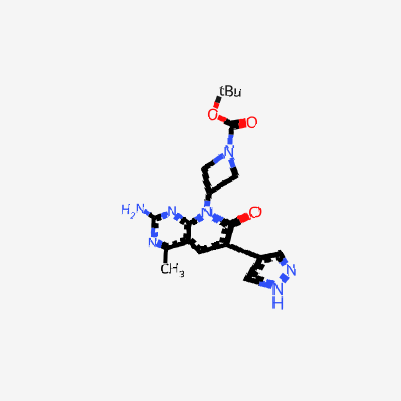 Cc1nc(N)nc2c1cc(-c1cn[nH]c1)c(=O)n2C1CN(C(=O)OC(C)(C)C)C1